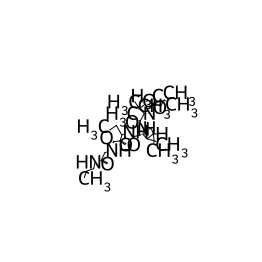 CCCNC(=O)CNC(=O)C(=O)C(CCC)NC(=O)[C@@H]1C2[C@H](CN1C(=O)[C@@H](NC(=O)OC(C)(C)C)C(C)(C)C)C2(C)C